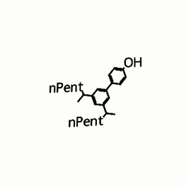 CCCCCC(C)c1cc(-c2ccc(O)cc2)cc(C(C)CCCCC)c1